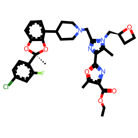 CCOC(=O)c1nc(-c2nc(CN3CCC(c4cccc5c4O[C@@](C)(c4ccc(Cl)cc4F)O5)CC3)n(C[C@@H]3CCO3)c2C)oc1C